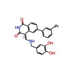 CC(C)c1cccc(-c2ccc3c(c2)/C(=C\NCc2ccc(O)c(O)c2)C(=O)NC3=O)c1